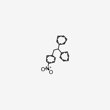 O=[N+]([O-])c1ccc(CC(c2ccccc2)c2ccccc2)cc1